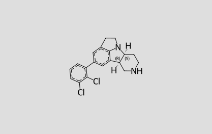 Clc1cccc(-c2cc3c4c(c2)[C@@H]2CNCC[C@@H]2N4CC3)c1Cl